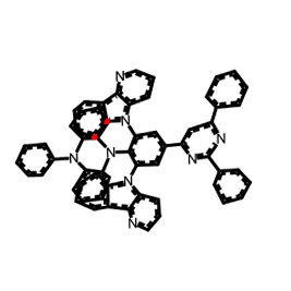 c1ccc(-c2cc(-c3cc(-n4c5ccccc5c5ncccc54)c(N4c5ccccc5N(c5ccccc5)c5ccccc54)c(-n4c5ccccc5c5ncccc54)c3)nc(-c3ccccc3)n2)cc1